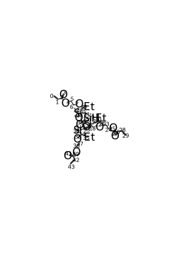 C=CC(=O)OCCOC(CC)[Si](C)(C)OC([SiH3])(O[Si](C)(C)C(CC)OCCOC(=O)C=C)O[Si](C)(C)C(CC)OCCOC(=O)C=C